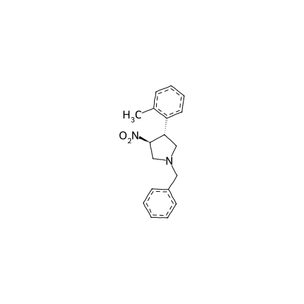 Cc1ccccc1[C@@H]1CN(Cc2ccccc2)C[C@H]1[N+](=O)[O-]